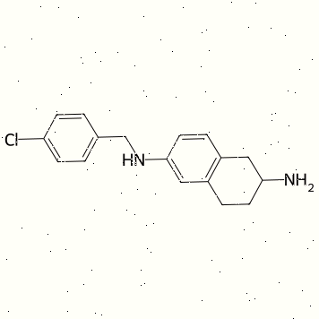 NC1CCc2cc(NCc3ccc(Cl)cc3)ccc2C1